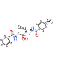 CCO[C@H](CNC(=O)c1ccc(C(F)(F)F)cc1)[C@@H](O)CNC(=O)c1ccccc1